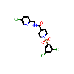 O=C(NCc1ccc(Cl)cn1)C1CCN(S(=O)(=O)c2cc(Cl)cc(Cl)c2)CC1